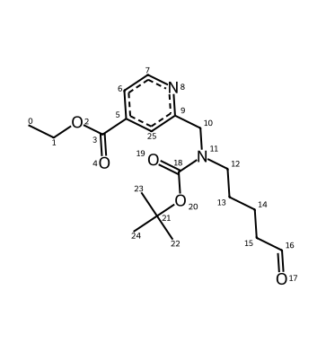 CCOC(=O)c1ccnc(CN(CCCCC=O)C(=O)OC(C)(C)C)c1